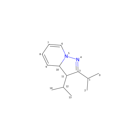 CC(C)C1=NN2C=CC=CC2C1C(C)C